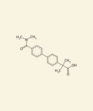 CN(C)C(=O)c1ccc(-c2ccc(C(C)(C)C(=O)O)cc2)cc1